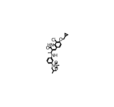 CC(C)CN(c1cccc(N[C@@H](C)c2cc3ccc(OCC4CC4)c(Cl)c3[nH]c2=O)c1)S(C)(=O)=O